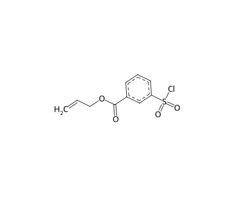 C=CCOC(=O)c1cccc(S(=O)(=O)Cl)c1